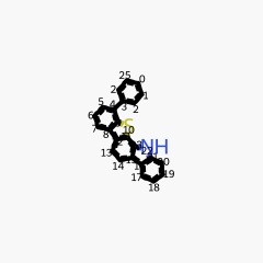 c1ccc(-c2cccc3c2sc2c3ccc3c4ccccc4[nH]c32)cc1